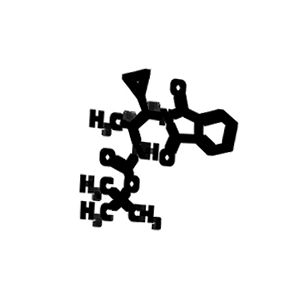 C[C@H](NC(=O)OC(C)(C)C)[C@@H](C1CC1)N1C(=O)c2ccccc2C1=O